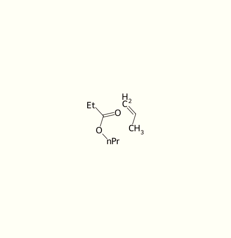 C=CC.CCCOC(=O)CC